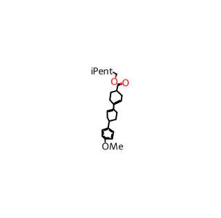 CCCC(C)COC(=O)C1CC=C(C2=CCC(c3ccc(OC)cc3)CC2)CC1